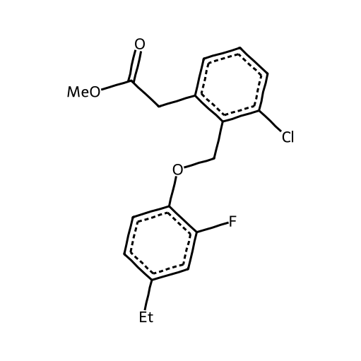 CCc1ccc(OCc2c(Cl)cccc2CC(=O)OC)c(F)c1